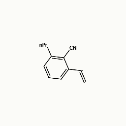 C=[C]c1cccc(CCC)c1C#N